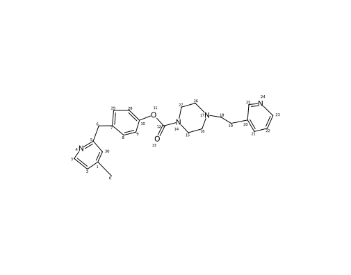 Cc1ccnc(Cc2ccc(OC(=O)N3CCN(CCc4cccnc4)CC3)cc2)c1